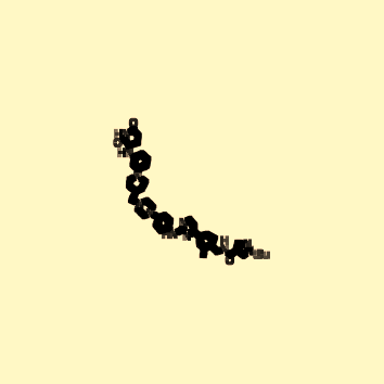 Cc1cc(-c2ccnc(Nc3ccc(N4CCN(CC5CCN(c6cccc(NC7CCC(=O)NC7=O)c6)CC5)CC4)cc3)n2)ccc1CNC(=O)c1cnn(C(C)(C)C)c1